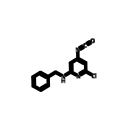 O=C=Nc1cc(Cl)nc(NCc2ccccc2)c1